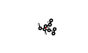 N#Cc1cccc(-c2ccc(-c3ccc(-n4c5ccccc5c5ccccc54)cc3-n3c4ccccc4c4c5oc6ccccc6c5ccc43)c(C#N)c2)c1